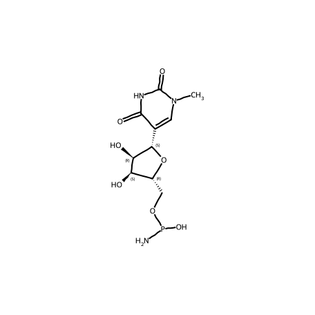 Cn1cc([C@@H]2O[C@H](COP(N)O)[C@@H](O)[C@H]2O)c(=O)[nH]c1=O